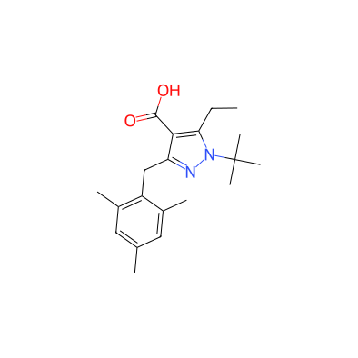 CCc1c(C(=O)O)c(Cc2c(C)cc(C)cc2C)nn1C(C)(C)C